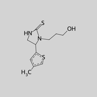 Cc1csc(C2CNC(=S)N2CCCO)c1